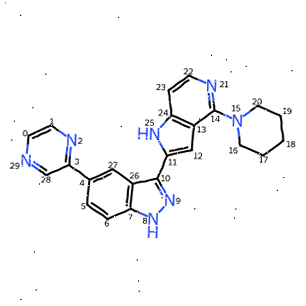 c1cnc(-c2ccc3[nH]nc(-c4cc5c(N6CCCCC6)nccc5[nH]4)c3c2)cn1